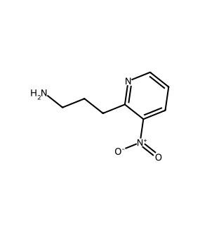 NCCCc1ncccc1[N+](=O)[O-]